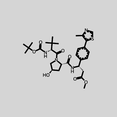 COC(=O)C[C@H](NC(=O)[C@@H]1C[C@@H](O)CN1C(=O)[C@H](NC(=O)OC(C)(C)C)C(C)(C)C)c1ccc(-c2scnc2C)cc1